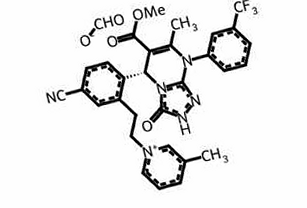 COC(=O)C1=C(C)N(c2cccc(C(F)(F)F)c2)c2n[nH]c(=O)n2[C@@H]1c1ccc(C#N)cc1CC[n+]1cccc(C)c1.O=C[O-]